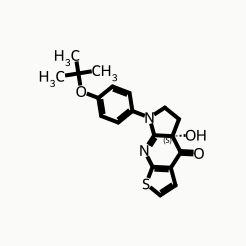 CC(C)(C)Oc1ccc(N2CC[C@@]3(O)C(=O)c4ccsc4N=C23)cc1